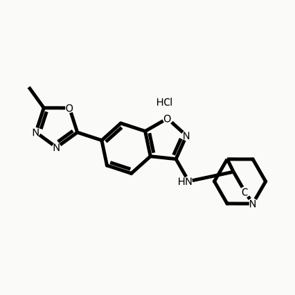 Cc1nnc(-c2ccc3c(NC4CN5CCC4CC5)noc3c2)o1.Cl